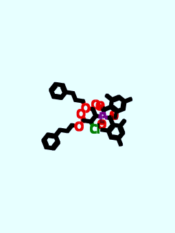 Cc1cc(C)c(C(=O)P(=O)(C(=O)c2c(C)cc(C)cc2C)C(C(=O)OCCCc2ccccc2)C(Cl)C(=O)OCCCc2ccccc2)c(C)c1